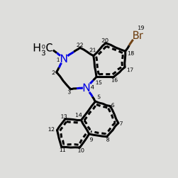 CN1CCN(c2cccc3ccccc23)c2ccc(Br)cc2C1